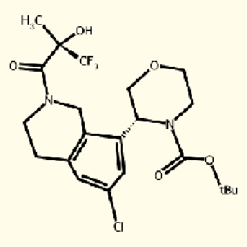 CC(C)(C)OC(=O)N1CCOC[C@H]1c1cc(Cl)cc2c1CN(C(=O)[C@](C)(O)C(F)(F)F)CC2